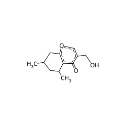 CC1Cc2occ(CO)c(=O)c2C(C)C1